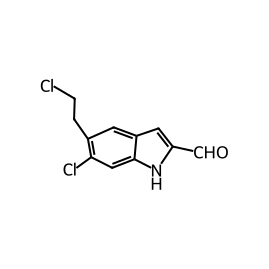 O=Cc1cc2cc(CCCl)c(Cl)cc2[nH]1